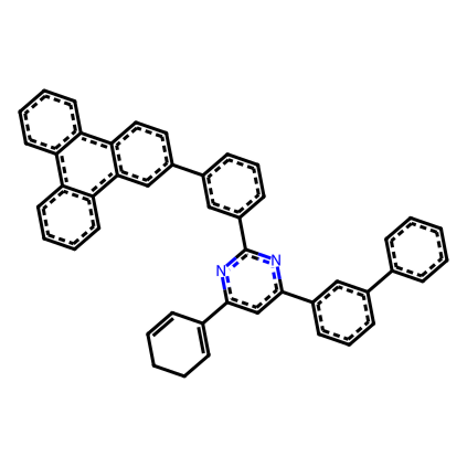 C1=CC(c2cc(-c3cccc(-c4ccccc4)c3)nc(-c3cccc(-c4ccc5c6ccccc6c6ccccc6c5c4)c3)n2)=CCC1